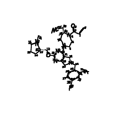 C=CC(=O)N1CCN(c2nc(OC[C@@H]3CCCN3C)nc3c2CN(Cc2ccc(F)cc2C(C)C)C3)C[C@@H]1CC#N